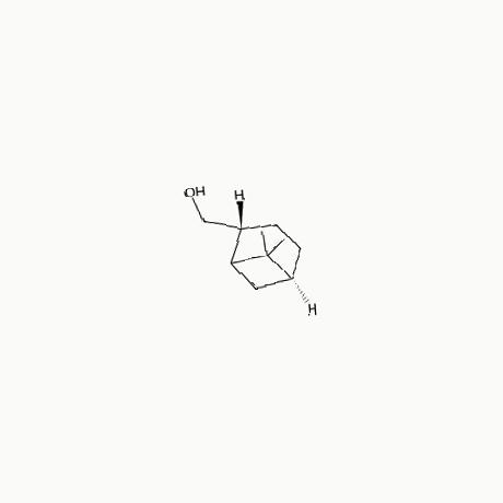 CC1(C)C2C[C@@H]1CC[C@H]2CO